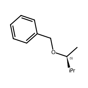 CC(C)[C@H](C)OCc1ccccc1